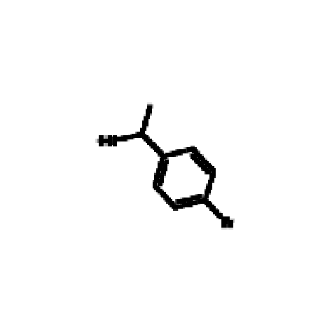 CC([NH])c1ccc(Br)cc1